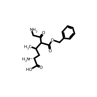 CC(C[C@@H](N)C(=O)O)C(C(=O)CN)C(=O)OCc1ccccc1